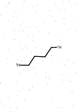 [2H]CCCC[2H]